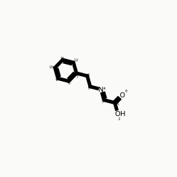 O=C(O)C=NCCc1ccccc1